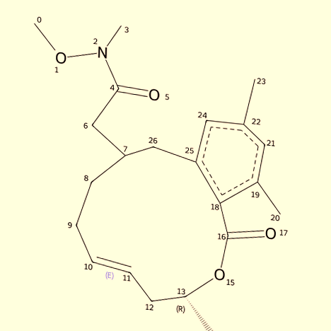 CON(C)C(=O)CC1CC/C=C/C[C@@H](C)OC(=O)c2c(C)cc(C)cc2C1